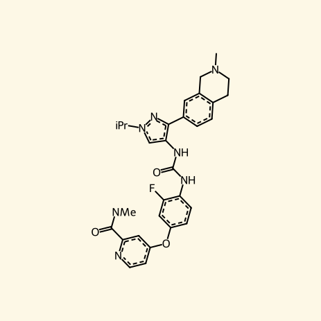 CNC(=O)c1cc(Oc2ccc(NC(=O)Nc3cn(C(C)C)nc3-c3ccc4c(c3)CN(C)CC4)c(F)c2)ccn1